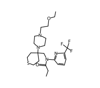 CCOCCN1CCN(C2(CN(C(=O)CC)c3cccc(C(F)(F)F)n3)CCSCC2)CC1